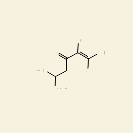 CC(C)=C(C)C(=O)CC(N)C(=O)O